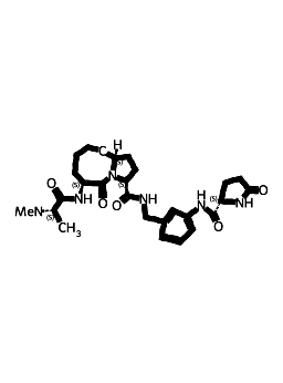 CN[C@@H](C)C(=O)N[C@H]1CCCC[C@H]2CC[C@@H](C(=O)NCc3cccc(NC(=O)[C@@H]4CCC(=O)N4)c3)N2C1=O